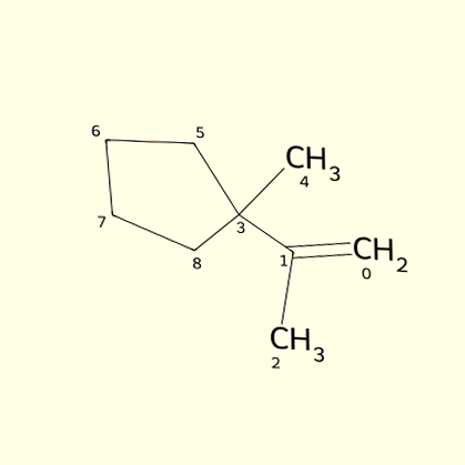 C=C(C)C1(C)CCCC1